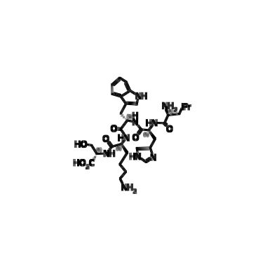 CC(C)C[C@H](N)C(=O)N[C@@H](Cc1c[nH]cn1)C(=O)N[C@@H](Cc1c[nH]c2ccccc12)C(=O)N[C@@H](CCCCN)C(=O)N[C@@H](CO)C(=O)O